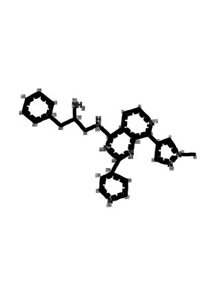 Cn1cc(-c2nccc3c(NCC(N)Cc4ccccc4)nc(-c4ccncc4)nc23)cn1